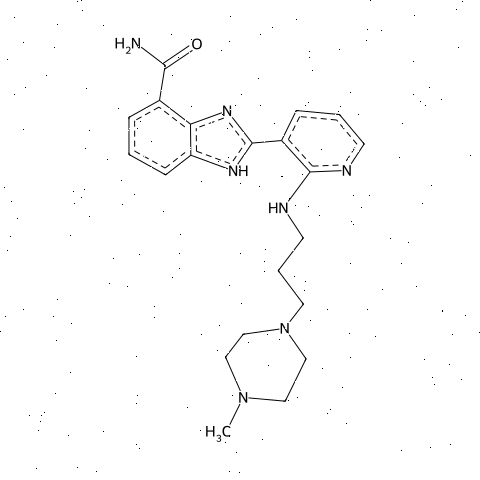 CN1CCN(CCCNc2ncccc2-c2nc3c(C(N)=O)cccc3[nH]2)CC1